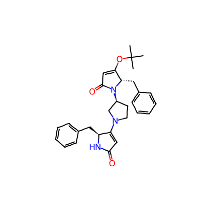 CC(C)(C)OC1=CC(=O)N([C@H]2CCN(C3=CC(=O)N[C@H]3Cc3ccccc3)C2)[C@H]1Cc1ccccc1